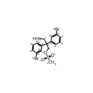 CS(=O)(=O)OCC(CN)(c1cccc(Br)c1)c1cccc(Br)c1